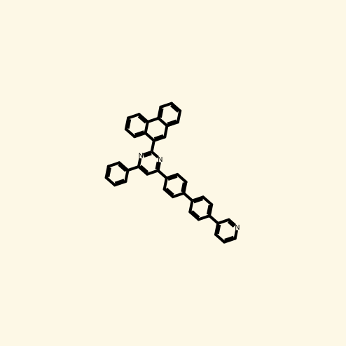 c1ccc(-c2cc(-c3ccc(-c4ccc(-c5cccnc5)cc4)cc3)nc(-c3cc4ccccc4c4ccccc34)n2)cc1